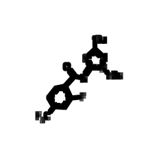 CCCCn1nc(C(C)(C)C)sc1=NC(=O)c1ccc(C(F)(F)F)cc1F